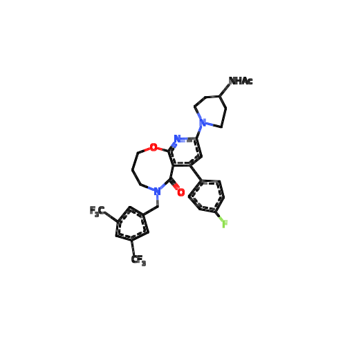 CC(=O)NC1CCN(c2cc(-c3ccc(F)cc3)c3c(n2)OCCCN(Cc2cc(C(F)(F)F)cc(C(F)(F)F)c2)C3=O)CC1